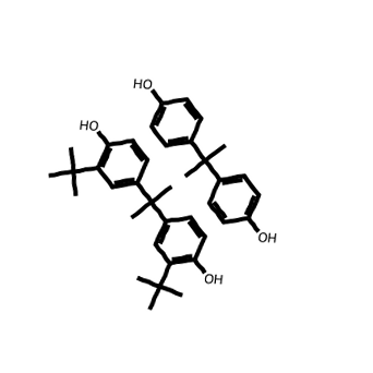 CC(C)(C)c1cc(C(C)(C)c2ccc(O)c(C(C)(C)C)c2)ccc1O.CC(C)(c1ccc(O)cc1)c1ccc(O)cc1